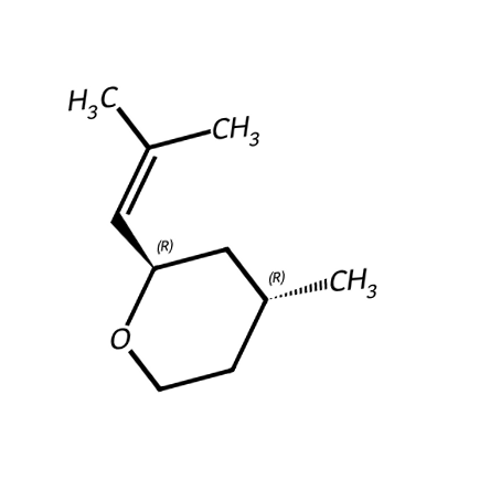 CC(C)=C[C@H]1C[C@H](C)CCO1